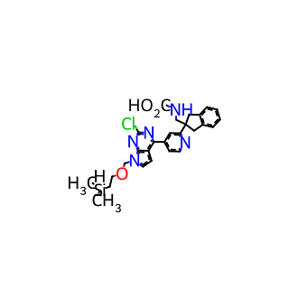 C[SiH](C)CCOCn1ccc2c(-c3ccnc(C4(CNC(=O)O)Cc5ccccc5C4)c3)nc(Cl)nc21